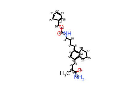 C[C@@H](CCc1ccc(CCCCNC(=O)OCc2ccccc2)c2c1CCCC2)C(N)=O